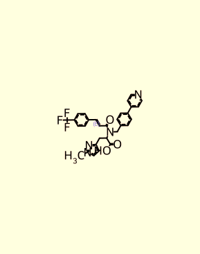 Cn1ccc(CC(C(=O)O)N(Cc2ccc(-c3ccncc3)cc2)C(=O)/C=C/c2ccc(C(F)(F)F)cc2)n1